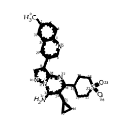 Cc1ccc2ncc(-c3cnn4c(N)c(C5CC5)c(C5CCS(=O)(=O)CC5)nc34)cc2c1